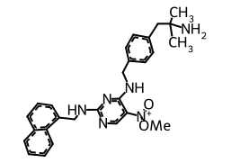 CO[N+](=O)c1cnc(NCc2cccc3ccccc23)nc1NCc1ccc(CC(C)(C)N)cc1